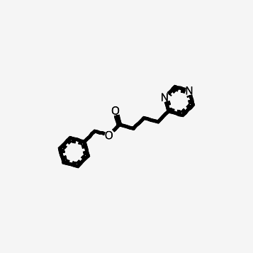 O=C(CCCc1ccncn1)OCc1ccccc1